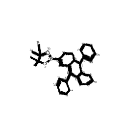 CC1(C)OB(C2=CC3=C(C4C=CC=CC4)c4ccccc4C(C4=CCCC=C4)C3C=C2)OC1(C)C